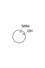 CN[C@H]1CCCCCCC[C@H]1O